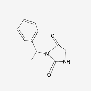 CC(c1ccccc1)N1C(=O)CNC1=O